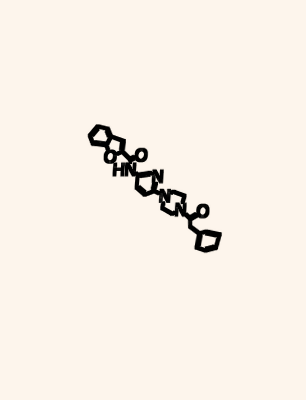 O=C(Nc1ccc(N2CCN(C(=O)Cc3ccccc3)CC2)nc1)c1cc2ccccc2o1